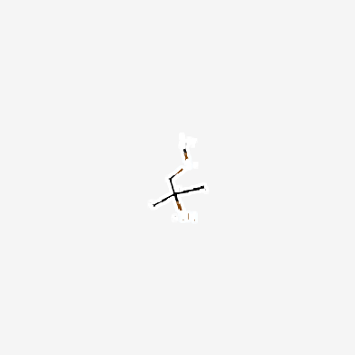 CCCSCC(C)(C)S